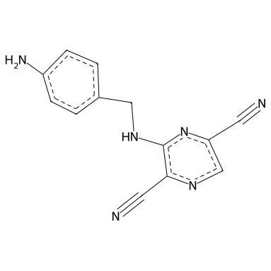 N#Cc1cnc(C#N)c(NCc2ccc(N)cc2)n1